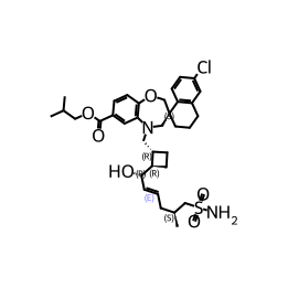 CC(C)COC(=O)c1ccc2c(c1)N(C[C@@H]1CC[C@H]1[C@@H](O)/C=C/C[C@H](C)CS(N)(=O)=O)C[C@@]1(CCCc3cc(Cl)ccc31)CO2